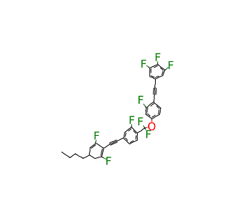 CCCCC1C=C(F)C(C#Cc2ccc(C(F)(F)Oc3ccc(C#Cc4cc(F)c(F)c(F)c4)c(F)c3)c(F)c2)=C(F)C1